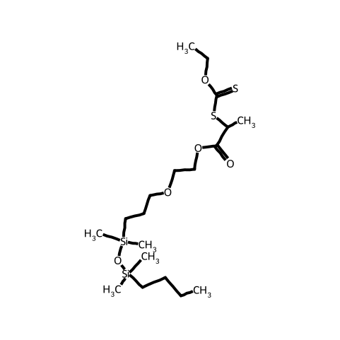 CCCC[Si](C)(C)O[Si](C)(C)CCCOCCOC(=O)C(C)SC(=S)OCC